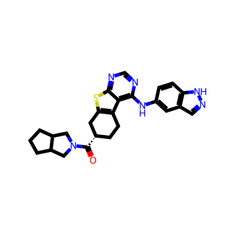 O=C([C@H]1CCc2c(sc3ncnc(Nc4ccc5[nH]ncc5c4)c23)C1)N1CC2CCCC2C1